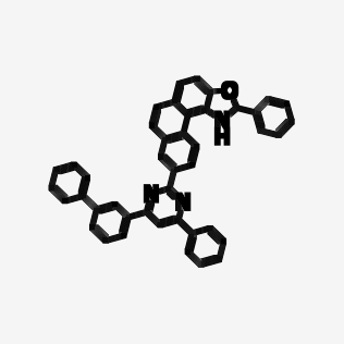 c1ccc(-c2cccc(-c3cc(-c4ccccc4)nc(-c4ccc5c(ccc6ccc7c(c65)NC(c5ccccc5)O7)c4)n3)c2)cc1